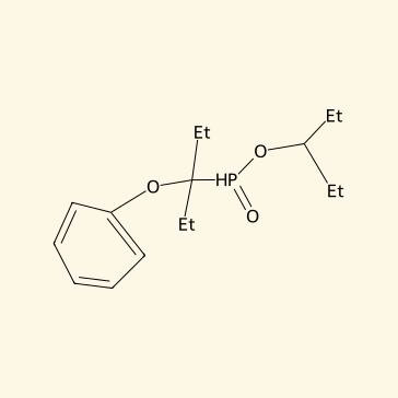 CCC(CC)O[PH](=O)C(CC)(CC)Oc1ccccc1